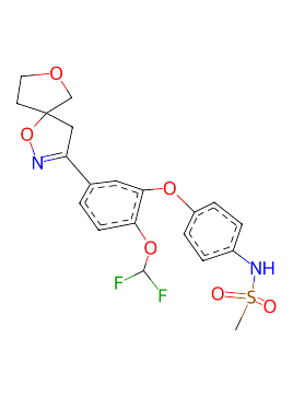 CS(=O)(=O)Nc1ccc(Oc2cc(C3=NOC4(CCOC4)C3)ccc2OC(F)F)cc1